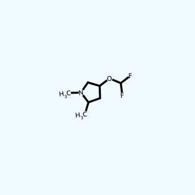 CC1CC(OC(F)F)CN1C